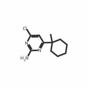 CC1(c2cc(Cl)nc(N)n2)CCCCC1